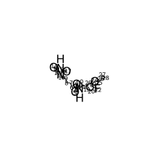 CC(NS(=O)(=O)CCCCCN1CC(=O)NC1=O)c1ccc(F)c(OCC2CC2)c1